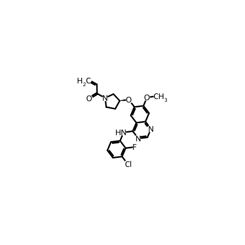 C=CC(=O)N1CC[C@H](Oc2cc3c(Nc4cccc(Cl)c4F)ncnc3cc2OC)C1